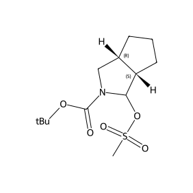 CC(C)(C)OC(=O)N1C[C@@H]2CCC[C@@H]2C1OS(C)(=O)=O